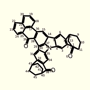 O=C1c2cc3c(cc2C2CCC1CC2)c1cc2c4cccc5cccc(c(=O)c2c2c6cc7c(cc6n3c12)C(=O)C1CCC7CC1)c54